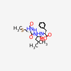 CSCC[C@H](NC=O)C(=O)NC(CC(C)C)C(=O)N[C@@H](Cc1ccccc1)C(=O)O